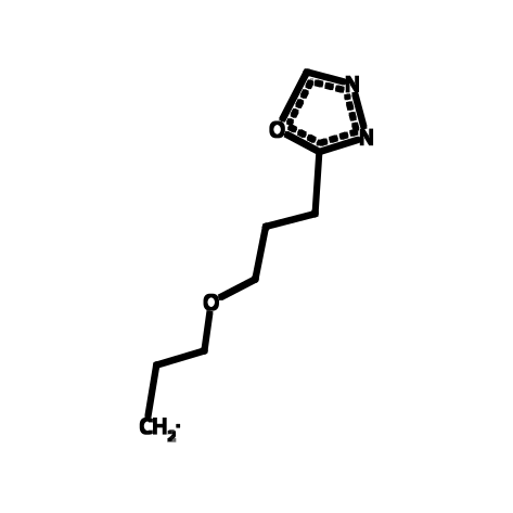 [CH2]CCOCCCc1nnco1